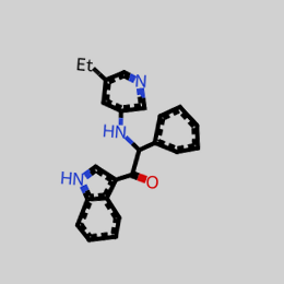 CCc1cncc(NC(C(=O)c2c[nH]c3ccccc23)c2ccccc2)c1